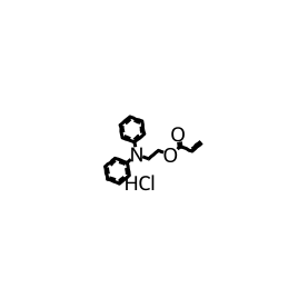 C=CC(=O)OCCN(c1ccccc1)c1ccccc1.Cl